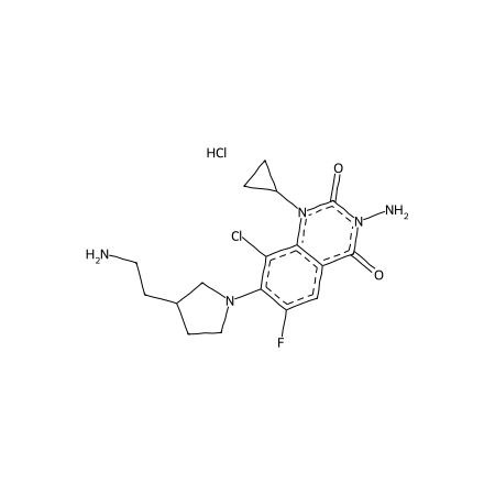 Cl.NCCC1CCN(c2c(F)cc3c(=O)n(N)c(=O)n(C4CC4)c3c2Cl)C1